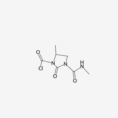 CNC(=O)N1CC(C)N(C(=O)Cl)C1=O